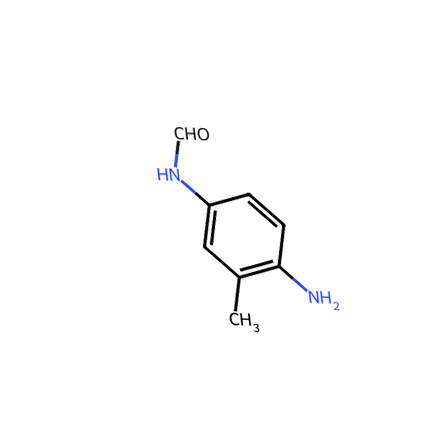 Cc1cc(NC=O)ccc1N